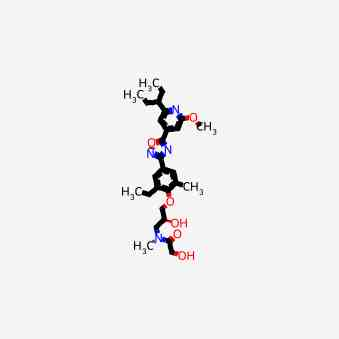 CCc1cc(-c2noc(-c3cc(OC)nc(C(CC)CC)c3)n2)cc(C)c1OC[C@@H](O)CN(C)C(=O)CO